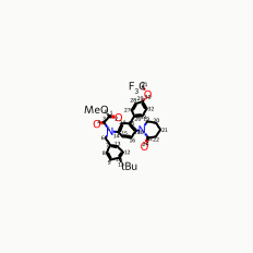 COC(=O)C(=O)N(Cc1ccc(C(C)(C)C)cc1)c1ccc(N2CCCCC2=O)c(-c2ccc(OC(F)(F)F)cc2)c1